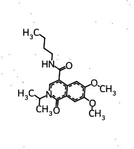 CCCCNC(=O)c1cn(C(C)C)c(=O)c2cc(OC)c(OC)cc12